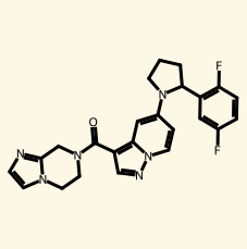 O=C(c1cnn2ccc(N3CCCC3c3cc(F)ccc3F)cc12)N1CCn2ccnc2C1